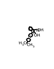 CC(C)C1CCC(N2CCC(n3c(CO)c(/C=N/O)c4ccccc43)CC2)CC1